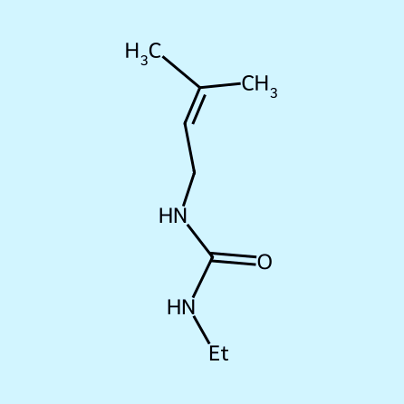 CCNC(=O)NCC=C(C)C